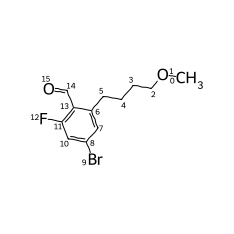 COCCCCc1cc(Br)cc(F)c1C=O